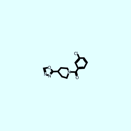 O=C(c1cccc(Cl)c1)N1CCC(c2nnco2)CC1